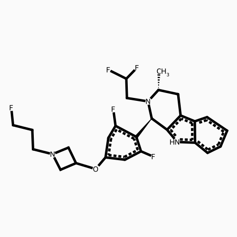 C[C@@H]1Cc2c([nH]c3ccccc23)[C@@H](c2c(F)cc(OC3CN(CCCF)C3)cc2F)N1CC(F)F